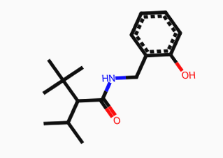 CC(C)C(C(=O)NCc1ccccc1O)C(C)(C)C